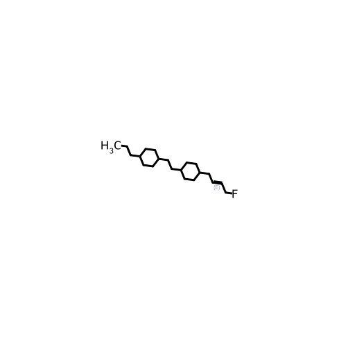 CCCC1CCC(CCC2CCC(C/C=C/CF)CC2)CC1